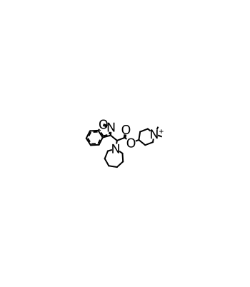 C[N+]1(C)CCC(OC(=O)C(c2noc3ccccc23)N2CCCCCC2)CC1